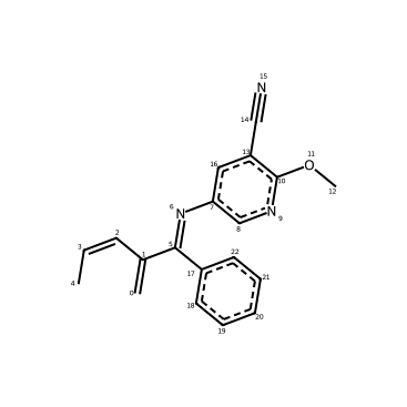 C=C(/C=C\C)/C(=N/c1cnc(OC)c(C#N)c1)c1ccccc1